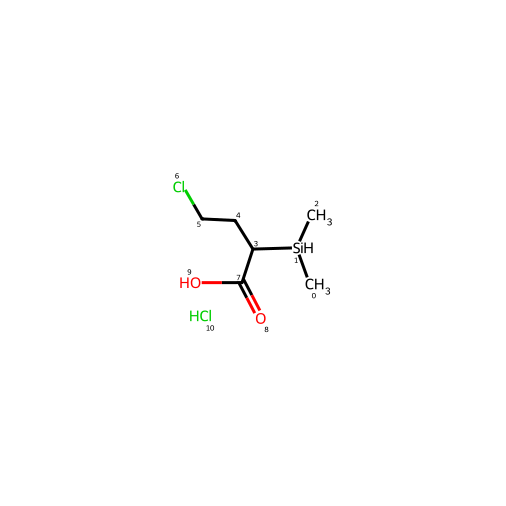 C[SiH](C)C(CCCl)C(=O)O.Cl